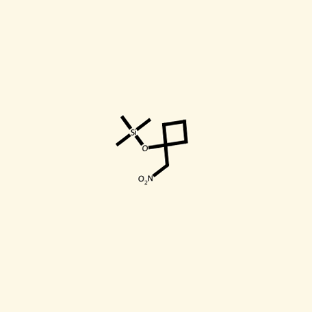 C[Si](C)(C)OC1(C[N+](=O)[O-])CCC1